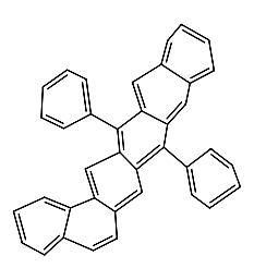 c1ccc(-c2c3cc4ccccc4cc3c(-c3ccccc3)c3cc4c(ccc5ccccc54)cc23)cc1